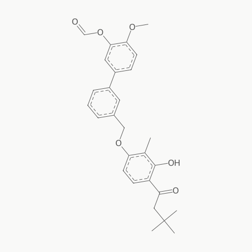 COc1ccc(-c2cccc(COc3ccc(C(=O)CC(C)(C)C)c(O)c3C)c2)cc1OC=O